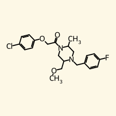 COCC1CN(C(=O)COc2ccc(Cl)cc2)C(C)CN1Cc1ccc(F)cc1